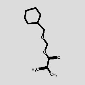 C=C(C)C(=O)OCOCC1CCCCC1